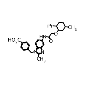 Cc1nc2cc(NC(=O)COC3CC(C)CCC3C(C)C)ccc2n1Cc1ccc(C(=O)O)cc1